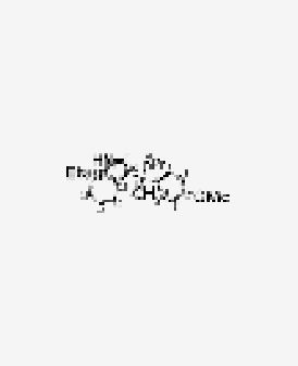 CCCC(C)(c1ccc(OC)cc1)c1c[nH]c2c(CC)cccc12